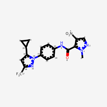 Cn1ncc([N+](=O)[O-])c1C(=O)Nc1ccc(-n2nc(C(F)(F)F)cc2C2CC2)cc1